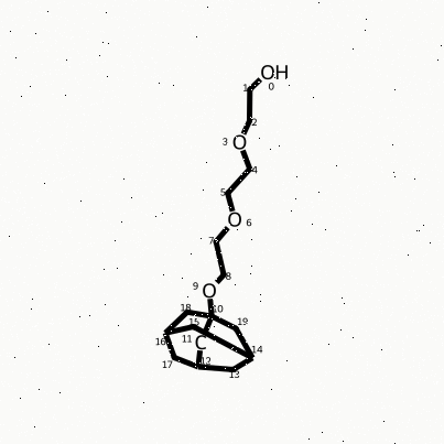 OCCOCCOCCOC12CC3CC(CC(C3)C1)C2